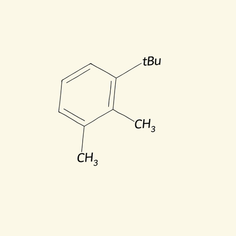 Cc1cccc(C(C)(C)C)c1C